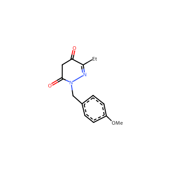 CCC1=NN(Cc2ccc(OC)cc2)C(=O)CC1=O